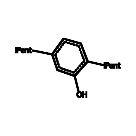 CCCC(C)c1ccc(C(C)CCC)c(O)c1